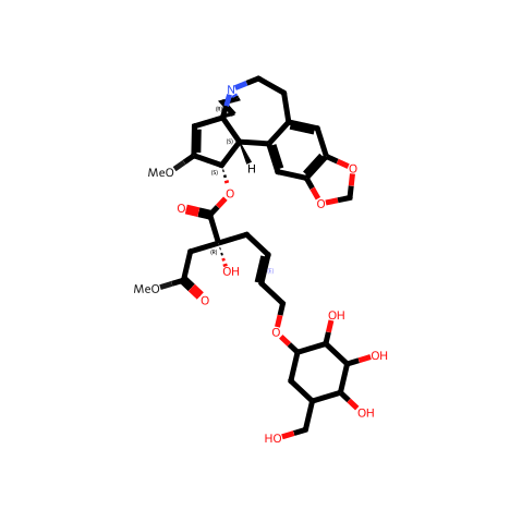 COC(=O)C[C@](O)(C/C=C/COC1CC(CO)C(O)C(O)C1O)C(=O)O[C@@H]1C(OC)=C[C@]23CCCN2CCc2cc4c(cc2[C@H]13)OCO4